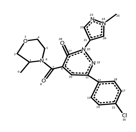 CC1COCCN1C(=O)c1cc(-c2ccc(Cl)cc2)nn(-c2cnn(C)c2)c1=O